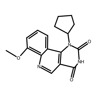 COc1cccc2c1ncc1c(=O)[nH]c(=O)n(C3CCCC3)c12